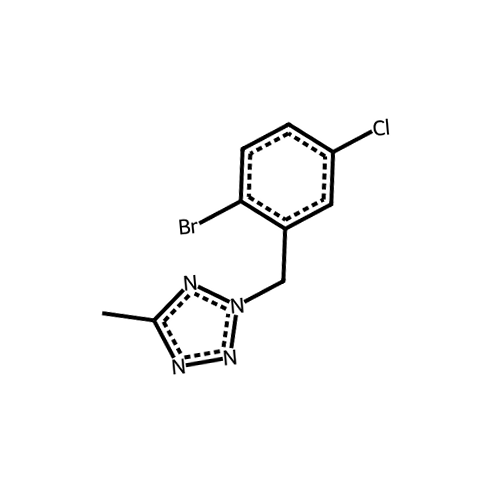 Cc1nnn(Cc2cc(Cl)ccc2Br)n1